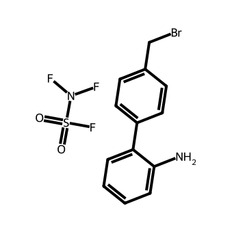 Nc1ccccc1-c1ccc(CBr)cc1.O=S(=O)(F)N(F)F